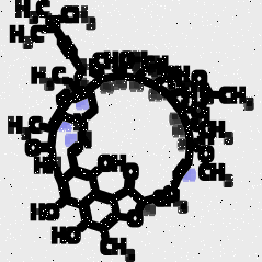 CO[C@H]1/C=C/O[C@@]2(C)Oc3c(C)c(O)c4c(O)c(c(/C=N/N5CC[N+](C)(CC#C[Si](C)(C)C)CC5)c(O)c4c3C2=O)NC(=O)/C(C)=C\C=C\[C@H](C)[C@H](O)[C@@H](C)[C@@H](O)[C@@H](C)[C@H](OC(C)=O)[C@@H]1C